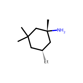 CC[C@@H]1CC(C)(C)C[C@](C)(N)C1